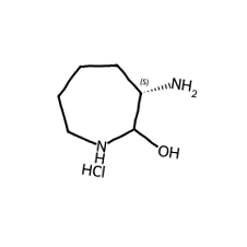 Cl.N[C@H]1CCCCNC1O